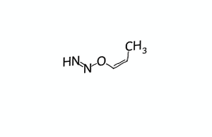 C/C=C\ON=N